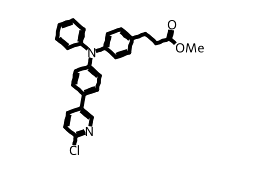 COC(=O)CCc1ccc(N(c2ccccc2)c2ccc(-c3ccc(Cl)nc3)cc2)cc1